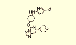 c1nc2cc(N3CCOCC3)nc(OC3CCC(Nc4ccc(C5CC5)cn4)CC3)n2n1